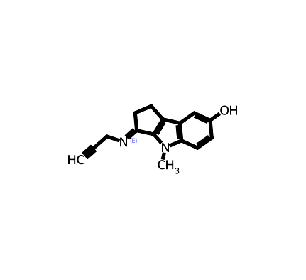 C#CC/N=C1\CCc2c1n(C)c1ccc(O)cc21